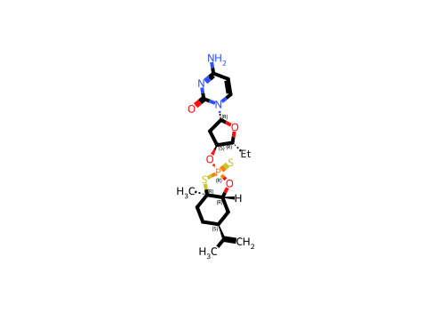 C=C(C)[C@H]1CC[C@@]2(C)S[P@](=S)(O[C@H]3C[C@H](n4ccc(N)nc4=O)O[C@@H]3CC)O[C@@H]2C1